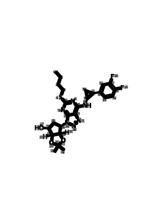 CCCCSc1nc(N[C@@H]2C[C@H]2c2ccc(F)c(F)c2)c2nnn([C@@H]3C[C@H](O)[C@H]4OC(C)(C)O[C@H]43)c2n1